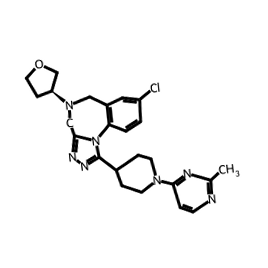 Cc1nccc(N2CCC(c3nnc4n3-c3ccc(Cl)cc3CN([C@H]3CCOC3)C4)CC2)n1